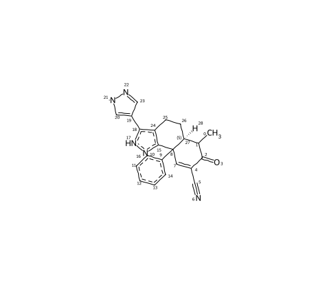 CC1C(=O)C(C#N)=CC2(c3ccccc3)c3n[nH]c(C4=C[N]N=C4)c3CC[C@@H]12